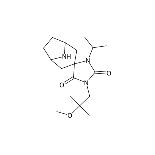 COC(C)(C)CN1C(=O)N(C(C)C)C2(CC3CCC(C2)N3)C1=O